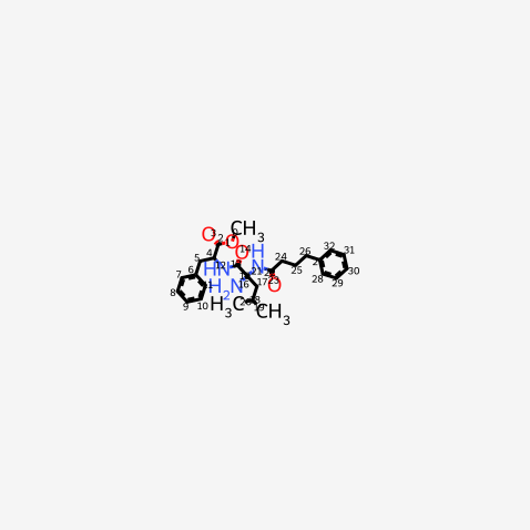 COC(=O)C(Cc1ccccc1)NC(=O)C(N)(CC(C)C)NC(=O)CCCc1ccccc1